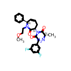 COCCN1C(=O)[C@@H](N(C(=O)Cc2cc(F)cc(F)c2)C(=O)[C@H](C)N)CC=C[C@@H]1c1ccccc1